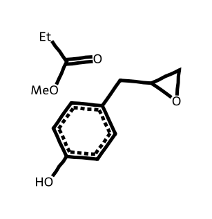 CCC(=O)OC.Oc1ccc(CC2CO2)cc1